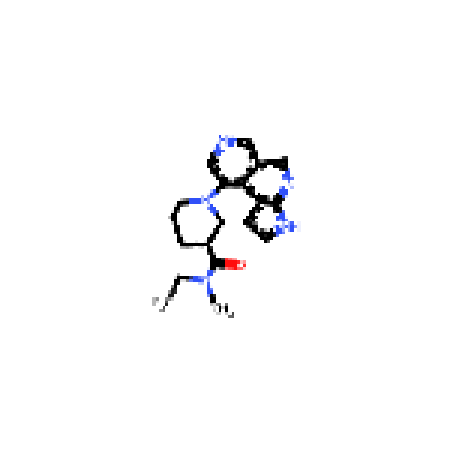 CN(CC(F)(F)F)C(=O)C1CCCN(c2cncc3cnc4[nH]ccc4c23)C1